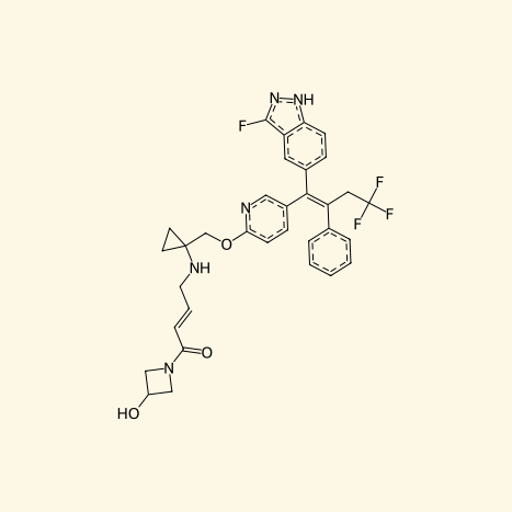 O=C(/C=C/CNC1(COc2ccc(/C(=C(/CC(F)(F)F)c3ccccc3)c3ccc4[nH]nc(F)c4c3)cn2)CC1)N1CC(O)C1